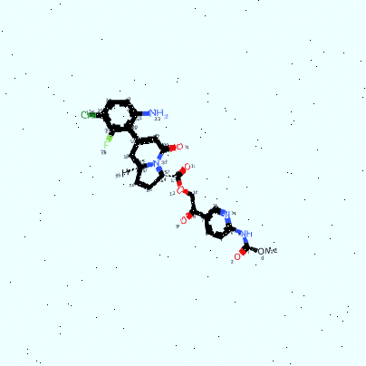 COC(=O)Nc1ccc(C(=O)COC(=O)[C@@H]2CC[C@H]3CC(c4c(N)ccc(Cl)c4F)=CC(=O)N32)cn1